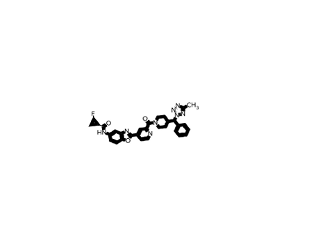 Cc1nnn(C(c2ccccc2)C2CCN(C(=O)c3cc(-c4nc5cc(NC(=O)[C@@H]6C[C@@H]6F)ccc5o4)ccn3)CC2)n1